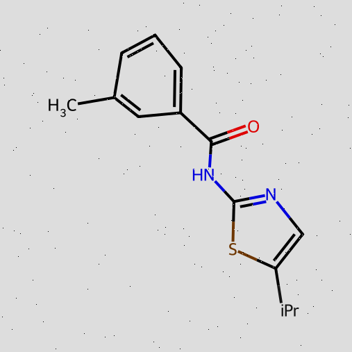 Cc1cccc(C(=O)Nc2ncc(C(C)C)s2)c1